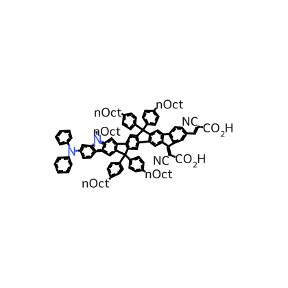 CCCCCCCCc1ccc(C2(c3ccc(CCCCCCCC)cc3)c3cc4c(cc3-c3cc5c(cc32)-c2cc3c(cc2C5(c2ccc(CCCCCCCC)cc2)c2ccc(CCCCCCCC)cc2)c2ccc(N(c5ccccc5)c5ccccc5)cc2n3CCCCCCCC)/C(=C(\C#N)C(=O)O)c2cc(/C=C(\C#N)C(=O)O)ccc2-4)cc1